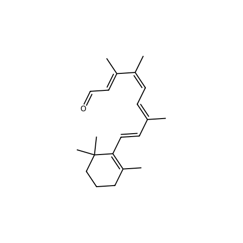 CC(C=CC1=C(C)CCCC1(C)C)=C/C=C(/C)C(C)=CC=O